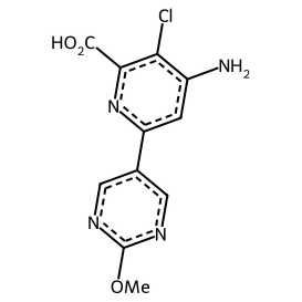 COc1ncc(-c2cc(N)c(Cl)c(C(=O)O)n2)cn1